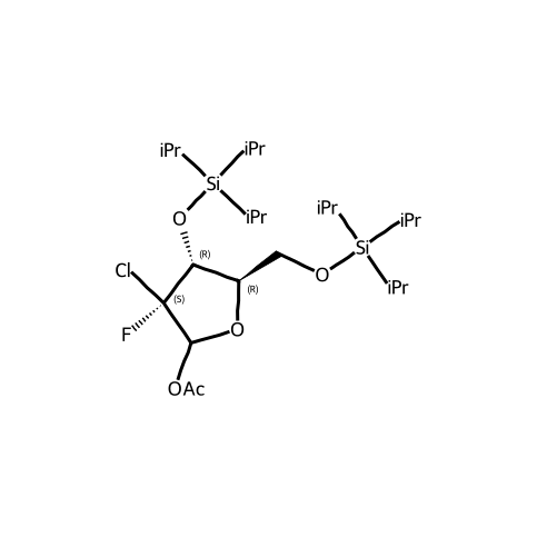 CC(=O)OC1O[C@H](CO[Si](C(C)C)(C(C)C)C(C)C)[C@@H](O[Si](C(C)C)(C(C)C)C(C)C)[C@]1(F)Cl